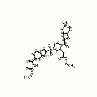 CCOC(=O)CC1CN(S(=O)(=O)c2cc3ccc(C(=N)NC(=O)OC)cc3[nH]2)CCN1C(=O)c1nc2c(s1)CNC(C)C2